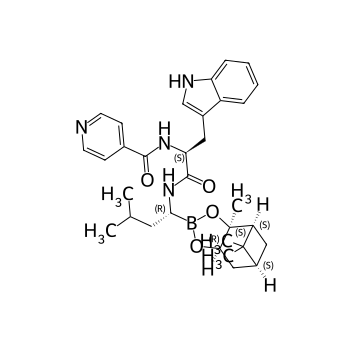 CC(C)C[C@H](NC(=O)[C@H](Cc1c[nH]c2ccccc12)NC(=O)c1ccncc1)B1O[C@@H]2C[C@@H]3C[C@@H](C3(C)C)[C@]2(C)O1